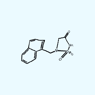 O=C1CN(Cc2cccc3ccccc23)S(=O)(=O)N1